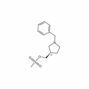 CS(=O)(=O)OC[C@@H]1CCN(Cc2ccccc2)C1